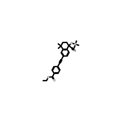 CCOC(=O)c1ccc(C#Cc2ccc3c(c2)C(C)(C)CCC3(C#N)O[Si](C)(C)C)cc1